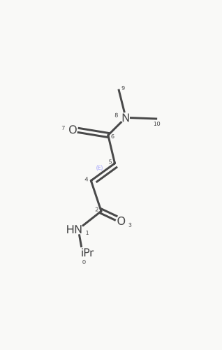 CC(C)NC(=O)/C=C/C(=O)N(C)C